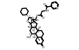 C[C@]12C=CC(=O)C=C1CC[C@@H]1[C@@H]2[C@@H](O)C[C@@]2(C)[C@H]1C[C@H]1O[C@@H](C3CCCCC3)O[C@]12C(=O)COC(=O)CNC(=O)c1cccnc1